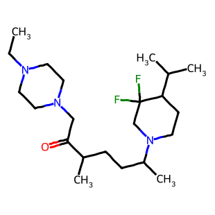 CCN1CCN(CC(=O)C(C)CCC(C)N2CCC(C(C)C)C(F)(F)C2)CC1